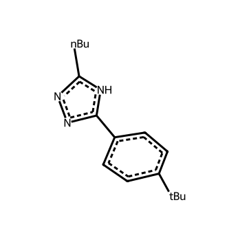 CCCCc1nnc(-c2ccc(C(C)(C)C)cc2)[nH]1